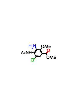 COC(=O)c1cc(Cl)c(NC(C)=O)c(N)c1OC